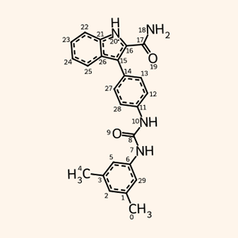 Cc1cc(C)cc(NC(=O)Nc2ccc(-c3c(C(N)=O)[nH]c4ccccc34)cc2)c1